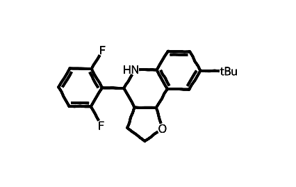 CC(C)(C)c1ccc2c(c1)C1OCCC1C(c1c(F)cccc1F)N2